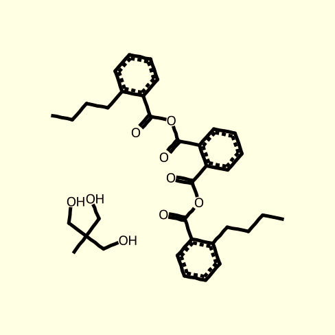 CC(CO)(CO)CO.CCCCc1ccccc1C(=O)OC(=O)c1ccccc1C(=O)OC(=O)c1ccccc1CCCC